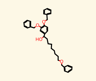 OC(CCCCCCCCOCc1ccccc1)c1ccc(OCc2ccccc2)c(OCc2ccccc2)c1